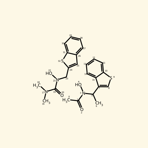 CC(=O)N(O)C(C)c1csc2ccccc12.CN(C)C(=O)N(O)Cc1cc2ccccc2s1